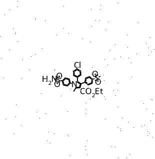 CCOC(=O)c1c(-c2ccc(S(C)(=O)=O)cc2)c(-c2ccc(Cl)cc2)n(-c2ccc(S(N)(=O)=O)cc2)c1C